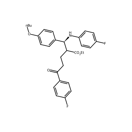 CCCCOc1ccc([C@@H](Nc2ccc(F)cc2)C(CCC(=O)c2ccc(F)cc2)C(=O)OCC)cc1